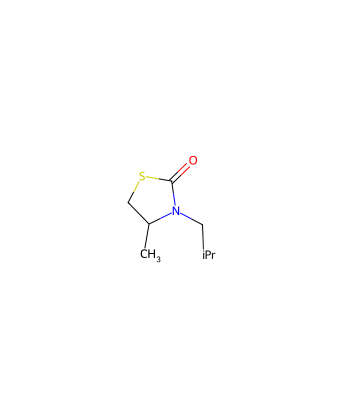 CC(C)CN1C(=O)SCC1C